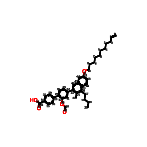 C=CCCCCCCCCCOc1ccc2c(CCCC)c(C)c(-c3ccc(-c4ccc(C(=O)O)cc4)c(OC=O)c3)cc2c1